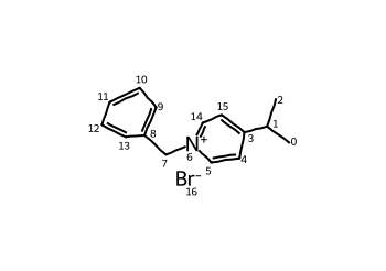 CC(C)c1cc[n+](Cc2ccccc2)cc1.[Br-]